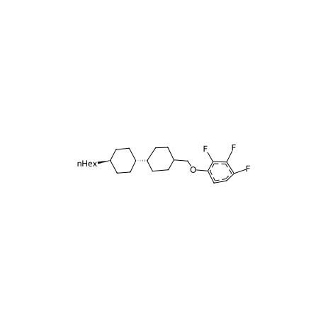 CCCCCC[C@H]1CC[C@H](C2CCC(COc3ccc(F)c(F)c3F)CC2)CC1